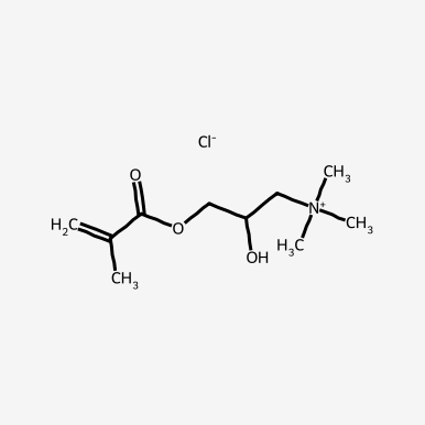 C=C(C)C(=O)OCC(O)C[N+](C)(C)C.[Cl-]